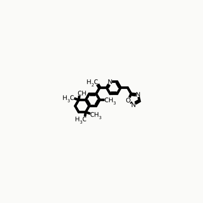 C=C(c1ccc(Cc2ncno2)cn1)c1cc2c(cc1C)C(C)(C)CCC2(C)C